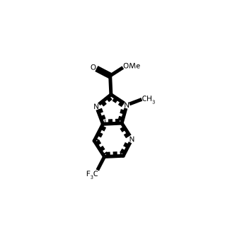 COC(=O)c1nc2cc(C(F)(F)F)cnc2n1C